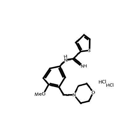 COc1ccc(NC(=N)c2cccs2)cc1CN1CCOCC1.Cl.Cl